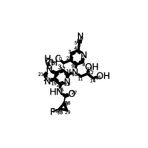 CCc1cc(C#N)ncc1N(CC(O)CO)c1cc2c(ncn2C)c(NC(=O)[C@H]2C[C@H]2F)n1